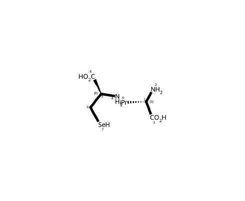 CC(C)[C@H](N)C(=O)O.N[C@@H](C[SeH])C(=O)O